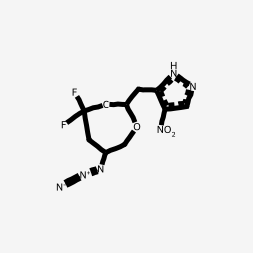 [N-]=[N+]=NC1COC(Cc2[nH]ncc2[N+](=O)[O-])CC(F)(F)C1